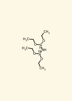 CCO[SiH](N[SiH](OCC)OCC)OCC